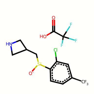 O=C(O)C(F)(F)F.[O-][S+](CC1CNC1)c1ccc(C(F)(F)F)cc1Cl